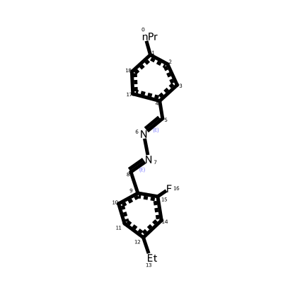 CCCc1ccc(/C=N/N=C/c2ccc(CC)cc2F)cc1